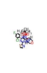 COC(=O)C1=C(CN2[C@@H]3COC[C@H]2C[C@H](NC(=O)OC(C)(C)C)C3)NC(c2nccs2)=N[C@H]1c1ccc(F)cc1Cl